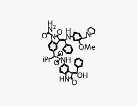 COc1cc(N/C(=C2\C(=O)N(C(N)=O)c3ccc(C(C(C)C)S(=O)(=O)Nc4ccc5c(c4)/C(=C(/O)c4ccccc4)C(=O)N5)cc32)c2ccccc2)ccc1CN1CCCC1